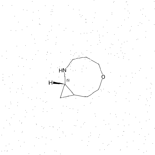 C1CN[C@H]2CC2CCOC1